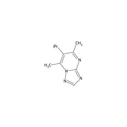 Cc1nc2ncnn2c(C)c1C(C)C